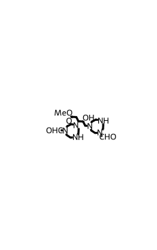 COC(=O)CC(C(O)CN1CCNCCN(C=O)CC1)N1CCNCCN(C=O)CC1